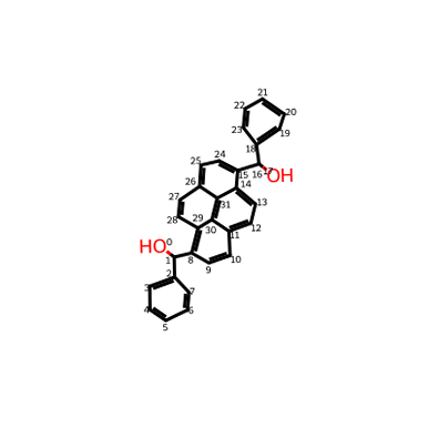 OC(c1ccccc1)c1ccc2ccc3c(C(O)c4ccccc4)ccc4ccc1c2c43